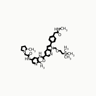 CNC(=O)Cc1ccc(-c2cc3cc(C(=O)Nc4cc(NC(=O)CN5CCC[C@@H]5C)cnc4C)cnc3n2COCC[Si](C)(C)C)cc1